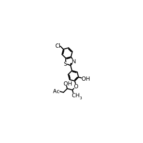 CC(=O)CC(O)C(C)Oc1ccc(-c2nc3ccc(Cl)cc3s2)cc1O